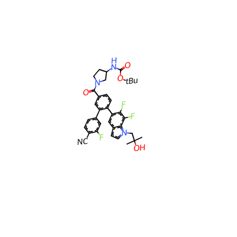 CC(C)(O)Cn1ccc2cc(-c3ccc(C(=O)N4CCC(NC(=O)OC(C)(C)C)C4)cc3-c3ccc(C#N)c(F)c3)c(F)c(F)c21